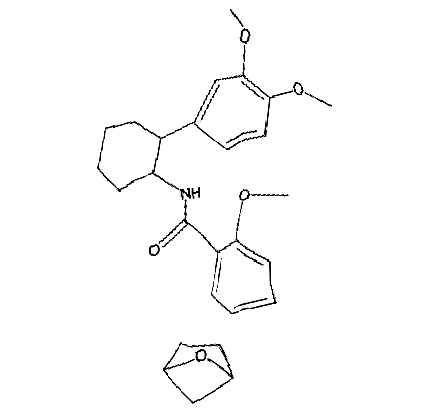 C1CC2CC1O2.COc1ccc(C2CCCCC2NC(=O)c2ccccc2OC)cc1OC